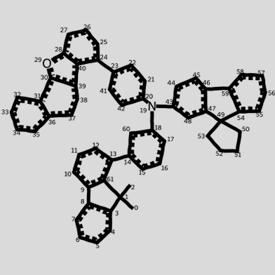 CC1(C)c2ccccc2-c2cccc(-c3cccc(N(c4ccc(-c5cccc6oc7c8ccccc8ccc7c56)cc4)c4ccc5c(c4)C4(CCCC4)c4ccccc4-5)c3)c21